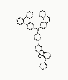 c1ccc(-c2ccccc2-c2ccc(N(c3ccc(-c4ccc5oc6c(-c7ccccc7)cccc6c5c4)cc3)c3ccc4ccc5ccccc5c4c3)cc2)cc1